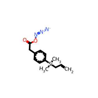 C=CC[Si](C)(C)c1ccc(CC(=O)ON=[N+]=[N-])cc1